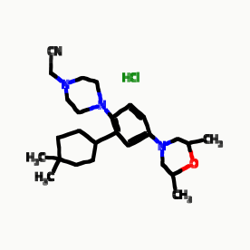 CC1CN(c2ccc(N3CCN(CC#N)CC3)c(C3CCC(C)(C)CC3)c2)CC(C)O1.Cl